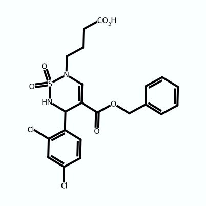 O=C(O)CCCN1C=C(C(=O)OCc2ccccc2)C(c2ccc(Cl)cc2Cl)NS1(=O)=O